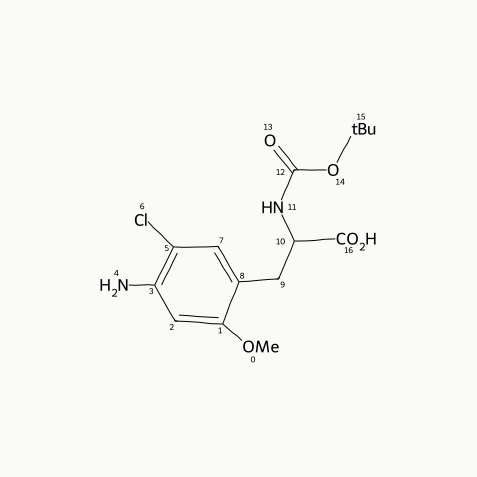 COc1cc(N)c(Cl)cc1CC(NC(=O)OC(C)(C)C)C(=O)O